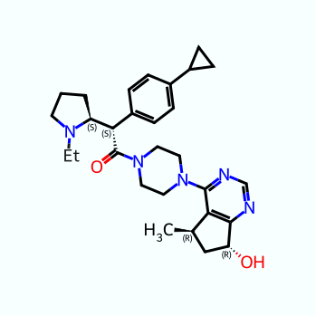 CCN1CCC[C@H]1[C@@H](C(=O)N1CCN(c2ncnc3c2[C@H](C)C[C@H]3O)CC1)c1ccc(C2CC2)cc1